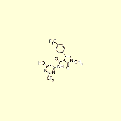 CN1C[C@@H](c2ccc(C(F)(F)F)cc2)[C@H](C(=O)Nc2cc(O)nc(C(F)(F)F)n2)C1=O